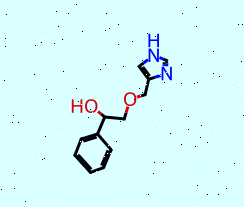 OC(COCc1c[nH]cn1)c1ccccc1